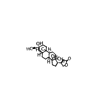 C#C[C@@]1(O)CC[C@@]2(C)[C@H](CC[C@@H]3[C@@H]2CC[C@]2(C)[C@@H](C4=CC(=O)OC4)CC[C@]32O)C1